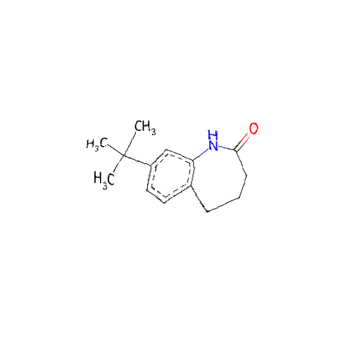 CC(C)(C)c1ccc2c(c1)NC(=O)CCC2